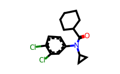 O=C(C1CCCCC1)N(c1ccc(Cl)c(Cl)c1)C1CC1